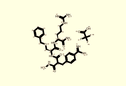 CNC(=O)C(Cc1ccc(C(=N)N)cc1)C(=O)N[C@@H](COCc1ccccc1)C(=O)N[C@@H](CCCNC(=N)N)C(N)=O.O=C(O)C(F)(F)F